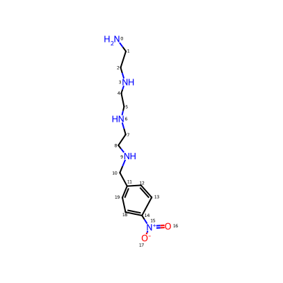 NCCNCCNCCNCc1ccc([N+](=O)[O-])cc1